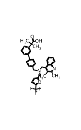 Cc1nc2ccccc2c(CN(Cc2ccc(-c3cccc(C(C)(C)C(=O)O)c3)cc2)Cc2ccc(C(F)(F)F)o2)c1C